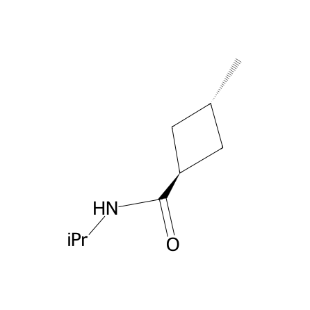 CC(C)NC(=O)[C@H]1C[C@H](C)C1